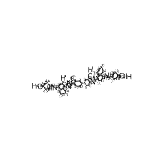 Cc1cc(-c2ccc(/N=N/c3ccc(NCc4ccc(O)cc4)c4ccccc34)c(C)c2)ccc1/N=N/c1ccc(NCc2ccc(O)cc2)c2ccccc12